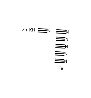 C#N.C#N.C#N.C#N.C#N.C#N.[Fe].[KH].[Zn]